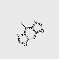 Cc1c2ncoc2cc2ocnc12